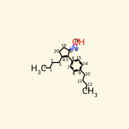 CCCCC1=C(c2ccc(CCCC)cc2)/C(=N/O)CC1